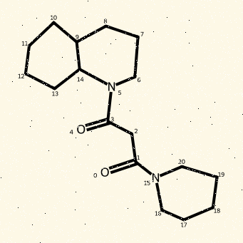 O=C(CC(=O)N1CCCC2CCCCC21)N1CCCCC1